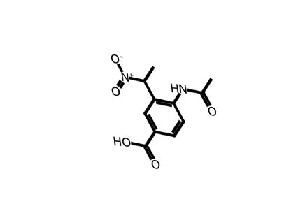 CC(=O)Nc1ccc(C(=O)O)cc1C(C)[N+](=O)[O-]